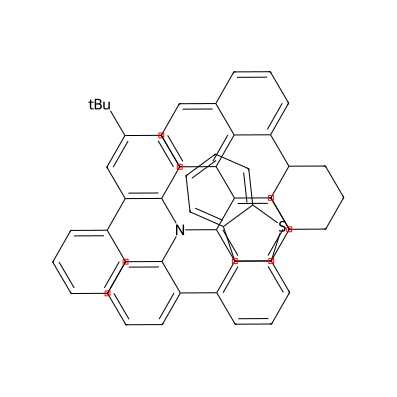 CC(C)(C)c1ccc(N(c2ccccc2-c2cccc3cccc(C4CCCCC4)c23)c2ccccc2-c2cccc3sc4ccccc4c23)c(-c2ccccc2)c1